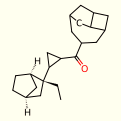 CC[C@@]1(C2CC2C(=O)C2CC3CC4CC(C2)C4C3)C[C@H]2CC[C@@H]1C2